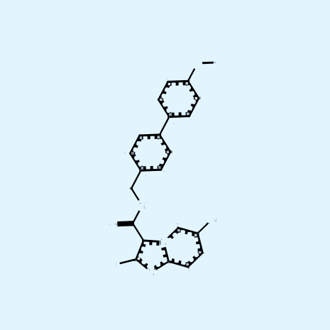 CCc1nc2ccc(Br)cn2c1C(=O)NCc1ccc(-c2ccc(OC(F)(F)F)cc2)cc1